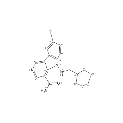 NC(=O)c1cncc2c3cc(F)ccc3n(NCC3CCCCC3)c12